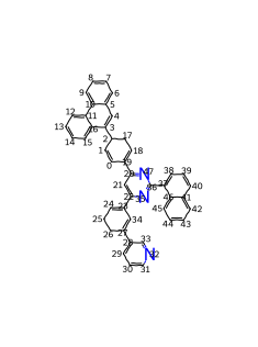 C1=CC(c2cc3ccccc3c3ccccc23)CC=C1c1cc(C2=CCCC(c3cccnc3)=C2)nc(-c2cccc3ccccc23)n1